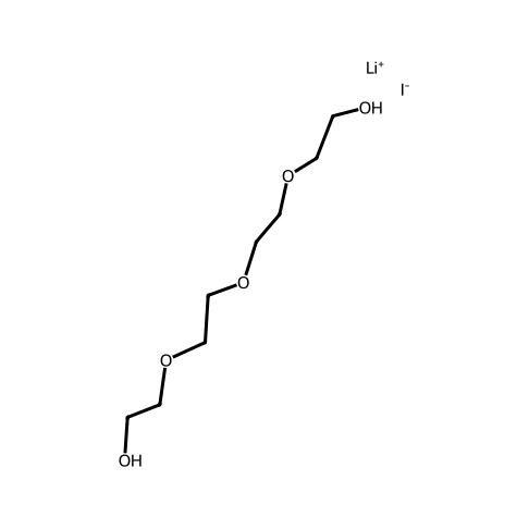 OCCOCCOCCOCCO.[I-].[Li+]